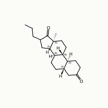 CCCC1C[C@H]2[C@@H]3CC[C@H]4CC(=O)CC[C@@H]4[C@H]3CC[C@]2(C)C1=O